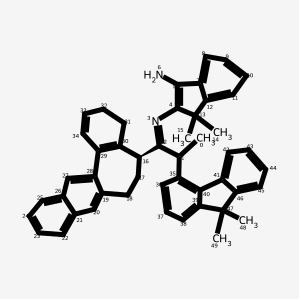 CC(/C(=N\C1=C(N)c2ccccc2C1(C)C)[C@H]1CCc2cc3ccccc3cc2C2=C1CCC=C2)c1cccc2c1-c1ccccc1C2(C)C